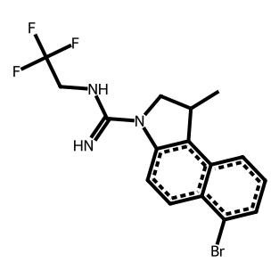 CC1CN(C(=N)NCC(F)(F)F)c2ccc3c(Br)cccc3c21